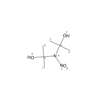 CC(C)(O)N([N+](=O)[O-])C(C)(C)O